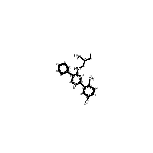 CCC(N)CNc1nc(-c2cc(Cl)ccc2O)ncc1-c1ccccc1